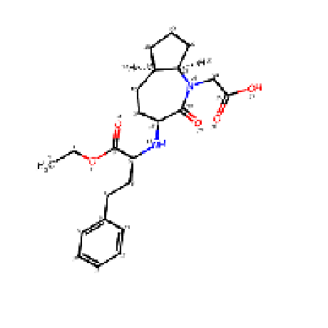 CCOC(=O)[C@H](CCc1ccccc1)N[C@H]1CC[C@H]2CCC[C@H]2N(CC(=O)O)C1=O